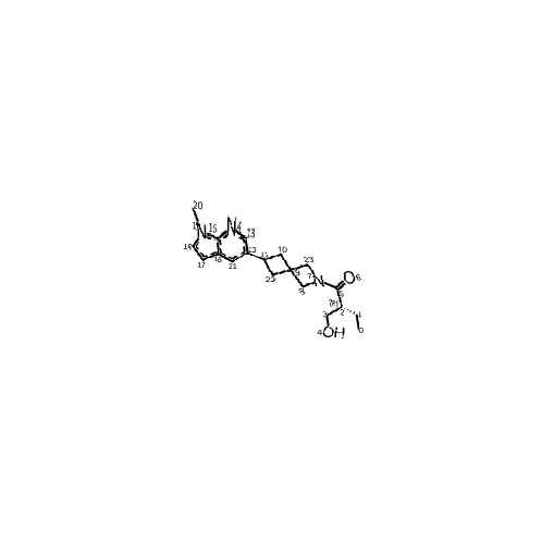 CC[C@H](CO)C(=O)N1CC2(CC(c3cnc4c(ccn4C)c3)C2)C1